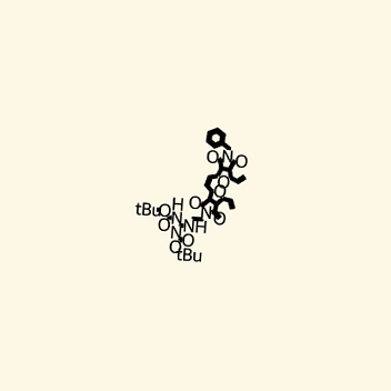 C=CC1OC(/C=C\C2OC(C=C)C3C(=O)N(Cc4ccccc4)C(=O)C23)C2C(=O)N(CCN/C(=N\C(=O)OC(C)(C)C)NC(=O)OC(C)(C)C)C(=O)C12